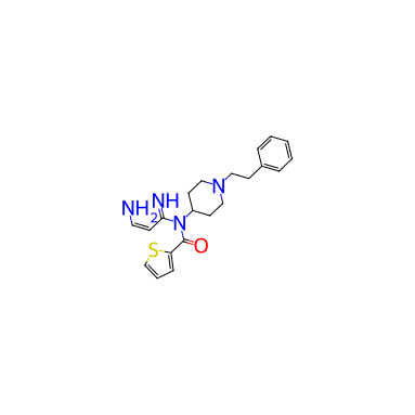 N=C(/C=C\N)N(C(=O)c1cccs1)C1CCN(CCc2ccccc2)CC1